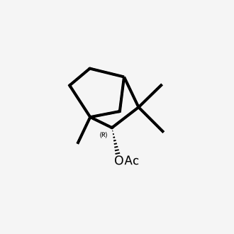 CC(=O)O[C@@H]1C2(C)CCC(C2)C1(C)C